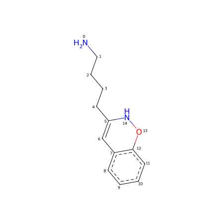 NCCCCC1=Cc2ccccc2ON1